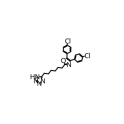 Clc1ccc(-c2nc(CCCCCCc3nnn[nH]3)oc2-c2ccc(Cl)cc2)cc1